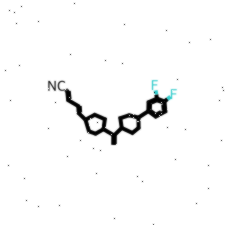 C=C(C1CCC(C=CC=CC#N)CC1)C1CCC(c2ccc(F)c(F)c2)CC1